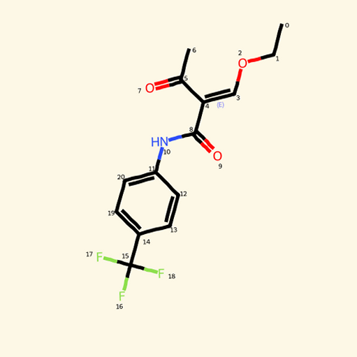 CCO/C=C(\C(C)=O)C(=O)Nc1ccc(C(F)(F)F)cc1